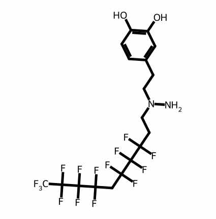 NN(CCc1ccc(O)c(O)c1)CCC(F)(F)C(F)(F)C(F)(F)CC(F)(F)C(F)(F)C(F)(F)C(F)(F)F